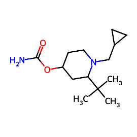 CC(C)(C)C1CC(OC(N)=O)CCN1CC1CC1